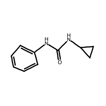 O=C(Nc1ccccc1)NC1CC1